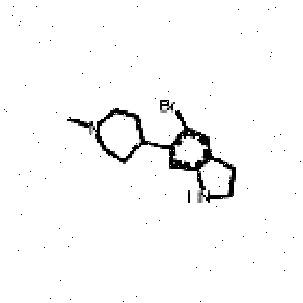 CN1CCC(c2cc3c(cc2Br)CCN3)CC1